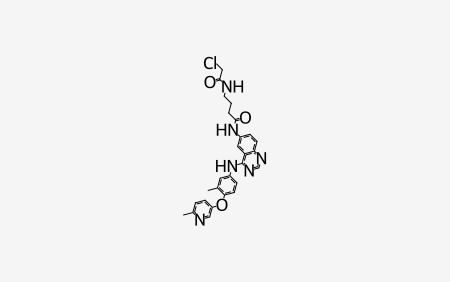 Cc1ccc(Oc2ccc(Nc3ncnc4ccc(NC(=O)CCCNC(=O)CCl)cc34)cc2C)cn1